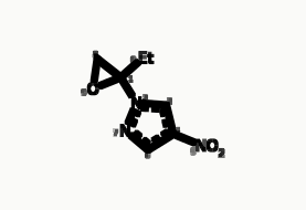 CCC1(n2cc([N+](=O)[O-])cn2)CO1